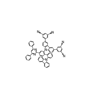 N#Cc1cc(C#N)cc(-c2ccc3c(c2)c2cc(-c4cc(C#N)cc(C#N)c4)ccc2n3-c2cc(-c3nc(-c4ccccc4)cc(-c4ccccc4)n3)ccc2-c2ccccc2-n2c3ccccc3c3ccccc32)c1